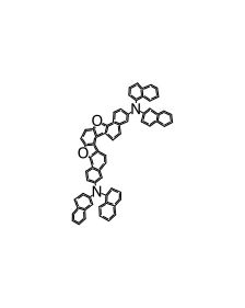 c1ccc2cc(N(c3ccc4c(ccc5c4oc4ccc6oc7c8ccc(N(c9ccc%10ccccc%10c9)c9cccc%10ccccc9%10)cc8ccc7c6c45)c3)c3cccc4ccccc34)ccc2c1